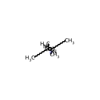 C/C=C(\C#N)c1cc(OCCCCCCCCCCCC)c(C(C#N)CC)cc1OCCCCCCCCCCCC